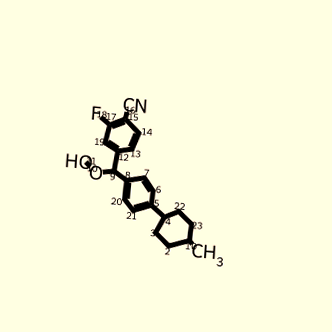 CC1CCC(c2ccc(C(OO)c3ccc(C#N)c(F)c3)cc2)CC1